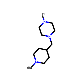 CC(C)N1CCN(CC2CCN(C(C)(C)C)CC2)CC1